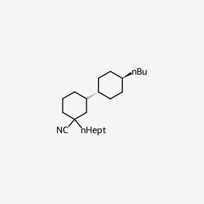 CCCCCCCC1(C#N)CCCC([C@H]2CC[C@H](CCCC)CC2)C1